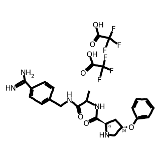 CC(NC(=O)[C@H]1C[C@H](Oc2ccccc2)CN1)C(=O)NCc1ccc(C(=N)N)cc1.O=C(O)C(F)(F)F.O=C(O)C(F)(F)F